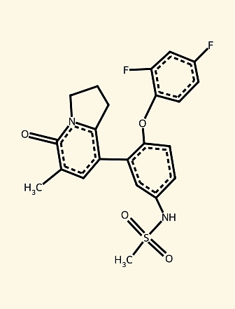 Cc1cc(-c2cc(NS(C)(=O)=O)ccc2Oc2ccc(F)cc2F)c2n(c1=O)CCC2